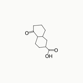 O=C(O)C1CCC2C(=O)CCCC2C1